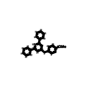 COc1ccc(Cc2cc(-c3ccccc3)nc(-c3ccccc3)c2)cc1